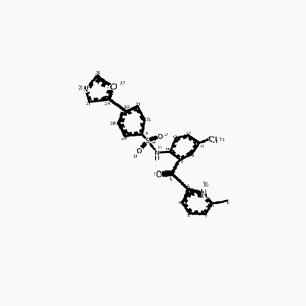 Cc1cccc(C(=O)c2cc(Cl)ccc2NS(=O)(=O)c2ccc(-c3cnco3)cc2)n1